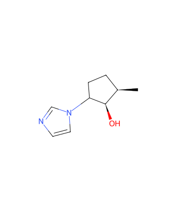 C[C@@H]1CCC(n2ccnc2)[C@@H]1O